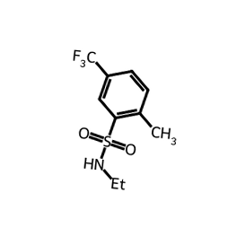 CCNS(=O)(=O)c1cc(C(F)(F)F)ccc1C